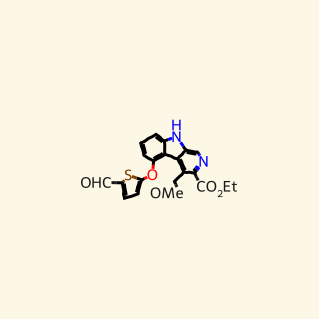 CCOC(=O)c1ncc2[nH]c3cccc(Oc4ccc(C=O)s4)c3c2c1COC